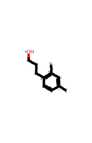 Cc1ccc(CCCO)c(C)c1